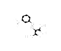 Nc1n[nH]c(N)c1N=Nc1cccc([N+](=O)[O-])c1